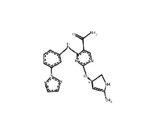 CC1=C[C@@H](Nc2ncc(C(N)=O)c(Nc3cccc(-n4nccn4)c3)n2)CN1